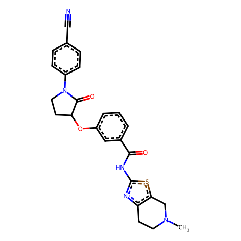 CN1CCc2nc(NC(=O)c3cccc(OC4CCN(c5ccc(C#N)cc5)C4=O)c3)sc2C1